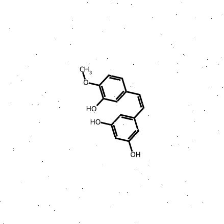 COc1ccc(/C=C\c2cc(O)cc(O)c2)cc1O